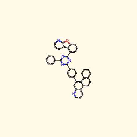 c1ccc(-c2nc(-c3ccc(-c4cc5ncccc5c5ccc6ccccc6c45)cc3)nc(-c3cccc4oc5ncccc5c34)n2)cc1